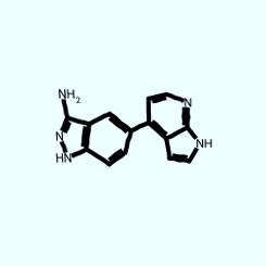 Nc1n[nH]c2ccc(-c3ccnc4[nH]ccc34)cc12